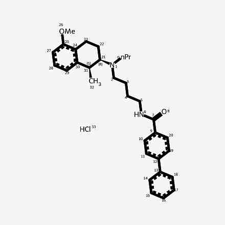 CCCN(CCCCNC(=O)c1ccc(-c2ccccc2)cc1)[C@@H]1CCc2c(OC)cccc2[C@@H]1C.Cl